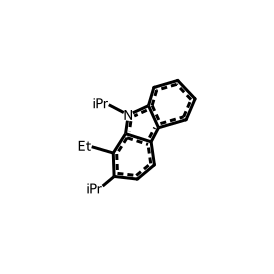 CCc1c(C(C)C)ccc2c3ccccc3n(C(C)C)c12